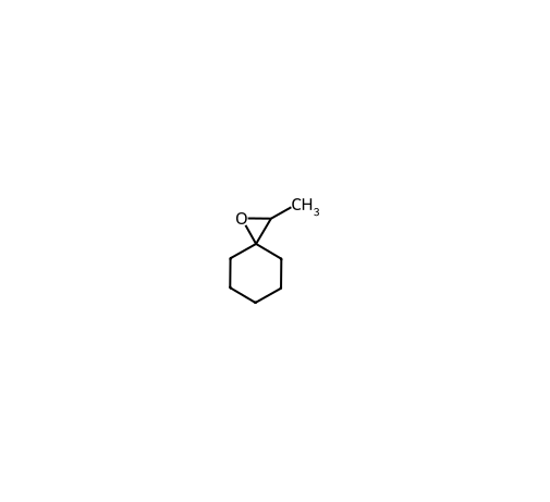 CC1OC12CCCCC2